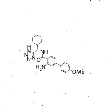 COc1ccc(-c2ccc(C(=O)N[C@H](c3nnn[nH]3)C3CCCCC3)c(N)c2)cc1